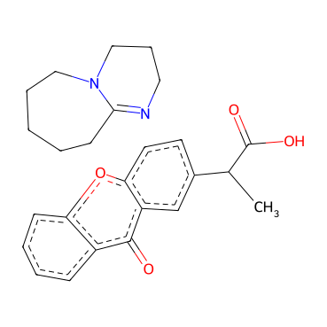 C1CCC2=NCCCN2CC1.CC(C(=O)O)c1ccc2oc3ccccc3c(=O)c2c1